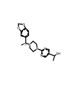 CC(O)c1cnc(N2CCN([C@@H](C)c3ccc4c(c3)OCO4)CC2)nc1